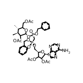 CC(=O)OCC1O[C@@H](OP(=O)(CP(=O)(OCc2ccccc2)OC[C@H]2O[C@@H](n3cnc4c(N)ncnc43)[C@@H](OC(C)=O)C2OC(C)=O)OCc2ccccc2)C(OC(C)=O)[C@@H](C)[C@@H]1C